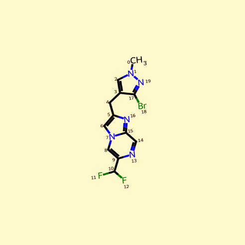 Cn1cc(Cc2cn3cc(C(F)F)ncc3n2)c(Br)n1